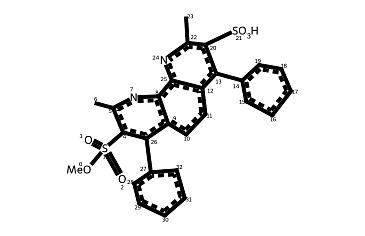 COS(=O)(=O)c1c(C)nc2c(ccc3c(-c4ccccc4)c(S(=O)(=O)O)c(C)nc32)c1-c1ccccc1